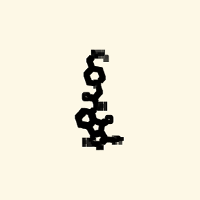 CC(C)c1n[nH]c2c1C(=O)c1c(NC(=O)CN3CCC(CN)CC3)cccc1-2